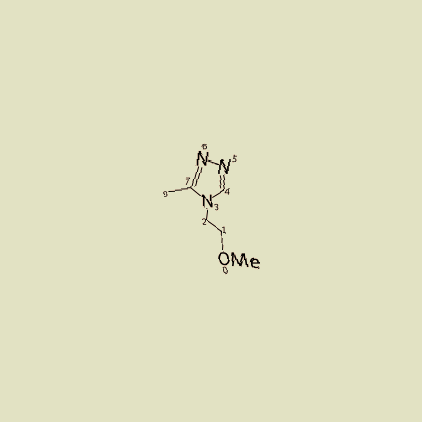 COCCn1cnnc1C